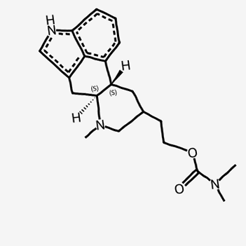 CN(C)C(=O)OCCC1C[C@H]2c3cccc4[nH]cc(c34)C[C@@H]2N(C)C1